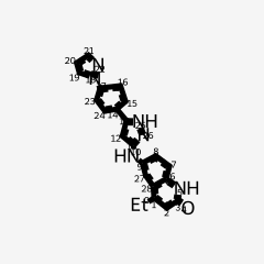 CCc1cc(=O)[nH]c2ccc(Nc3cc(-c4ccc(-n5cccn5)cc4)[nH]n3)cc12